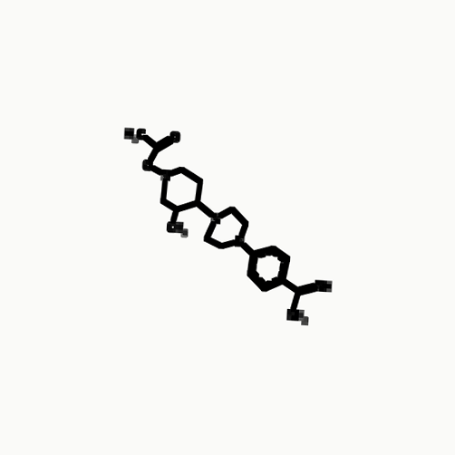 CC(=O)ON1CCC(N2CCN(c3ccc(C(=N)N)cc3)CC2)C(C)C1